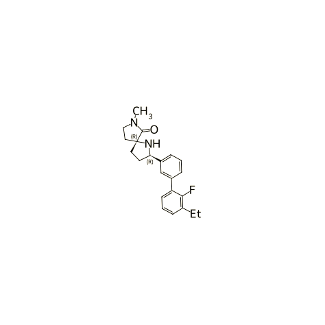 CCc1cccc(-c2cccc([C@H]3CC[C@]4(CCN(C)C4=O)N3)c2)c1F